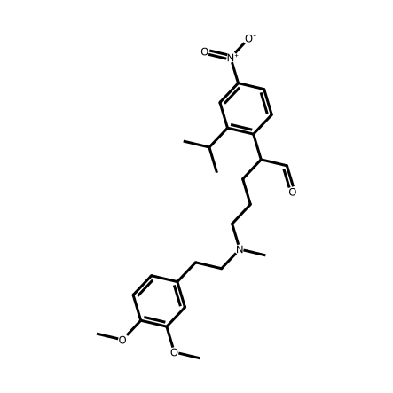 COc1ccc(CCN(C)CCCC(C=O)c2ccc([N+](=O)[O-])cc2C(C)C)cc1OC